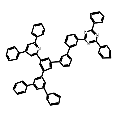 c1ccc(-c2cc(-c3ccccc3)cc(-c3cc(-c4cccc(-c5cccc(-c6nc(-c7ccccc7)nc(-c7ccccc7)n6)c5)c4)cc(-c4cc(-c5ccccc5)cc(-c5ccccc5)n4)c3)c2)cc1